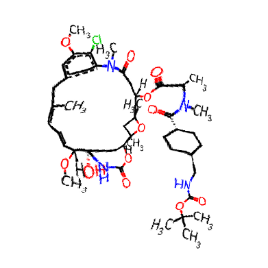 COc1cc2cc(c1Cl)N(C)C(=O)C[C@H](OC(=O)[C@@H](C)N(C)C(=O)[C@H]1CC[C@H](CNC(=O)OC(C)(C)C)CC1)[C@@]1(C)CC(C)(O1)[C@@H]1C[C@@](O)(NC(=O)O1)[C@H](OC)/C=C/C=C(\C)C2